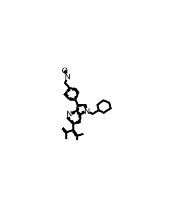 C=C(C)C(=C(C)C)c1cnc2c(-c3ccc(CN=O)cc3)cn(CC3CCCCC3)c2c1